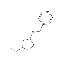 CCN1CCC(OCc2ccccc2)C1